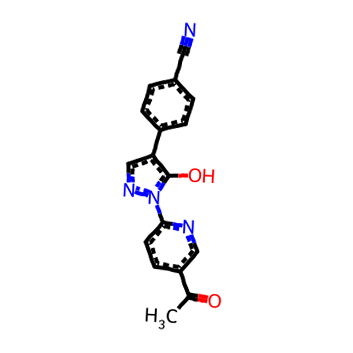 CC(=O)c1ccc(-n2ncc(-c3ccc(C#N)cc3)c2O)nc1